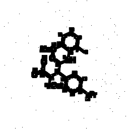 CCCCCCCCC(C(C(=O)Nc1c(C)cccc1OC)c1ccc(CCC)cc1)=S(=O)=O